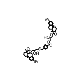 CC(C)c1ccc2c(c1)CCC1C(C)(C(=O)OCC(O)COOCc3ccc(C(=O)OCC(O)COC(=O)C4(C)CCCC5(C)c6ccc(C(C)C)cc6CCC45)cc3)CCCC21C